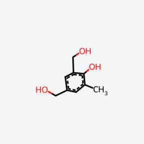 Cc1cc(CO)cc(CO)c1O